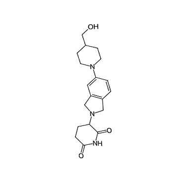 O=C1CCC(N2Cc3ccc(N4CCC(CO)CC4)cc3C2)C(=O)N1